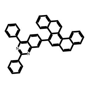 c1ccc(-c2nc(-c3ccccc3)c3ccc(-c4cc5ccc6ccccc6c5c5ccc6ccccc6c45)cc3n2)cc1